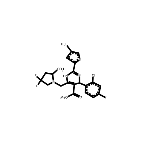 COC(=O)C1=C(CN2CC(F)(F)CC2C(=O)O)NC(c2cc(C)cs2)=NC1c1ccc(F)cc1Cl